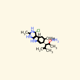 C=C(C)C(C(C)ON)[C@@H]1C=C2NC3=C([C@@H]2CC1OC)[C@@H](Cl)NC(C)N3